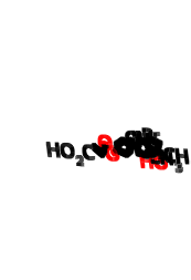 CCCC1C(C2(C)CCC(OC(=O)CCC(=O)O)CC2)CCC2(C)C1CCC2[C@H](C)O